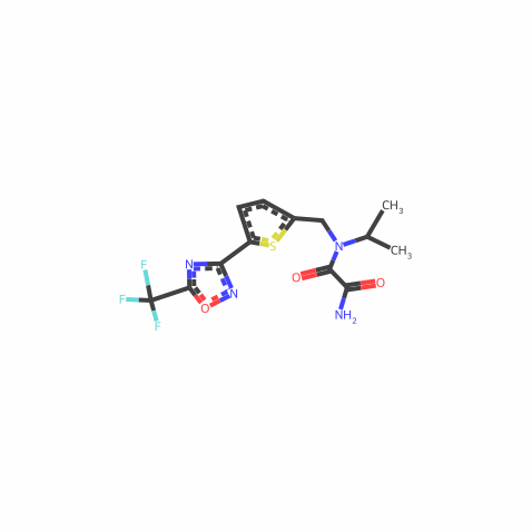 CC(C)N(Cc1ccc(-c2noc(C(F)(F)F)n2)s1)C(=O)C(N)=O